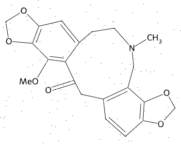 COc1c2c(cc3c1C(=O)Cc1ccc4c(c1CN(C)CC3)OCO4)OCO2